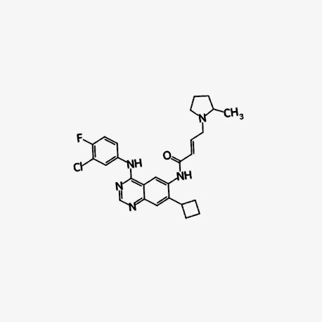 CC1CCCN1CC=CC(=O)Nc1cc2c(Nc3ccc(F)c(Cl)c3)ncnc2cc1C1CCC1